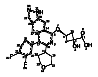 O=C(O)[C@]1(O)C[C@@H](Oc2nc(C3CCOCC3)c(-c3ccc(F)c(F)c3)c3cc4cn[nH]c4cc23)C1